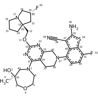 C[C@@]1(O)COCCN(c2nc(OC[C@@]34CCCN3C[C@H](F)C4)nc3c2CCN(c2ccc(F)c4sc(N)c(C#N)c24)C3)C1